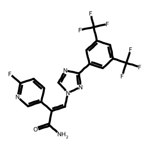 NC(=O)/C(=C/n1cnc(-c2cc(C(F)(F)F)cc(C(F)(F)F)c2)n1)c1ccc(F)nc1